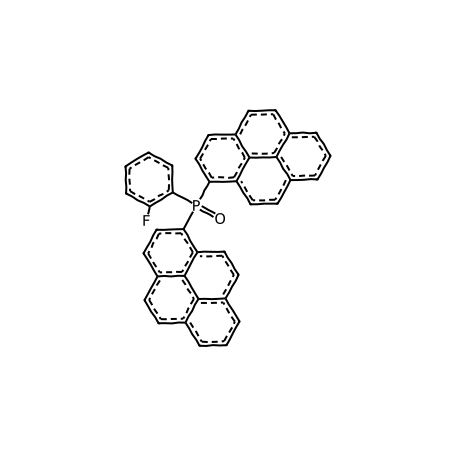 O=P(c1ccccc1F)(c1ccc2ccc3cccc4ccc1c2c34)c1ccc2ccc3cccc4ccc1c2c34